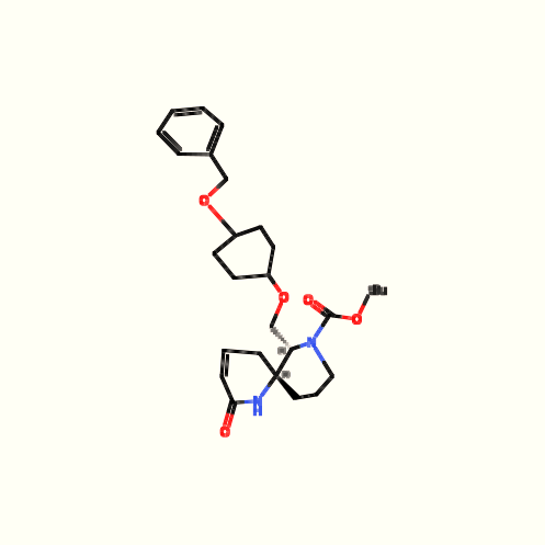 CC(C)(C)OC(=O)N1CCC[C@@]2(CC=CC(=O)N2)[C@@H]1COC1CCC(OCc2ccccc2)CC1